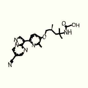 Cc1nc(-c2cnn3cc(C#N)cnc23)ccc1OC[C@@H](C)CC(C)(C)NC(=O)O